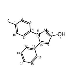 Cc1ccc(-n2nc(O)cc2-c2ccccc2)cc1